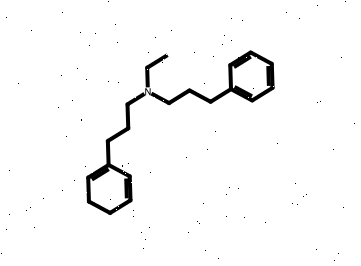 CCN(CCCC1=CCCC=C1)CCCc1ccccc1